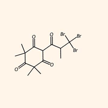 CC(C(=O)C1C(=O)C(C)(C)C(=O)C(C)(C)C1=O)C(Br)(Br)Br